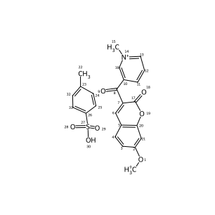 COc1ccc2cc(C(=O)c3ccc[n+](C)c3)c(=O)oc2c1.Cc1ccc(S(=O)(=O)O)cc1